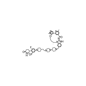 Cc1cc2cc(n1)-c1cnn(C)c1OCCC[C@@H](C)CN1/C(=N/C2=O)Nc2ccc(CN3CCC(N4CCN(CCC5CCN(c6cc(F)c(C7CCC(=O)NC7=O)c(F)c6)CC5)CC4)CC3)cc21